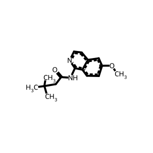 COc1ccc2c(NC(=O)CC(C)(C)C)nccc2c1